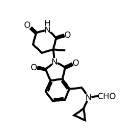 CC1(N2C(=O)c3cccc(CN(C=O)C4CC4)c3C2=O)CCC(=O)NC1=O